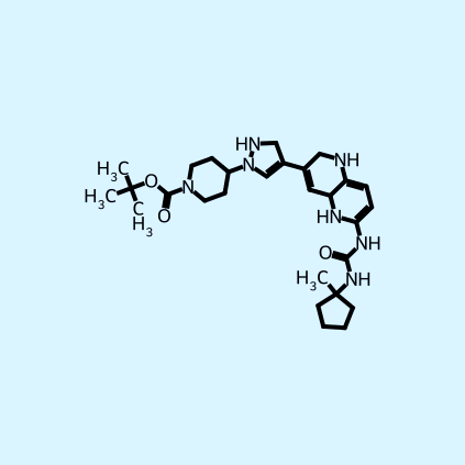 CC1(NC(=O)NC2=CC=C3NCC(C4=CN(C5CCN(C(=O)OC(C)(C)C)CC5)NC4)=CC3N2)CCCC1